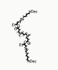 CCCCCCCCCCCCCCSSSCC(CC)OC(=O)CCN(C)CCCN(C)CCC(=O)OC(CC)CSSSCCCCCCCCCCCCCC